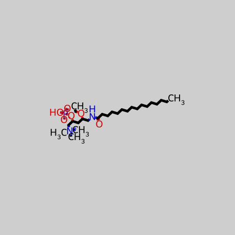 CCCCCCCCCCCCCCCC(=O)NCC(CC(C[N+](C)(C)C)OP(=O)([O-])O)OCC